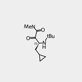 CNC(=O)C(=O)[C@H](CC1CC1)NC(C)(C)C